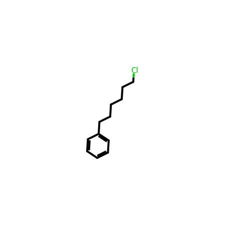 ClCCCCCCc1ccccc1